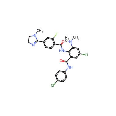 CN1CCN=C1c1ccc(C(=O)Nc2c(C(=O)Nc3ccc(Cl)cc3)cc(Cl)cc2N(C)C)c(F)c1